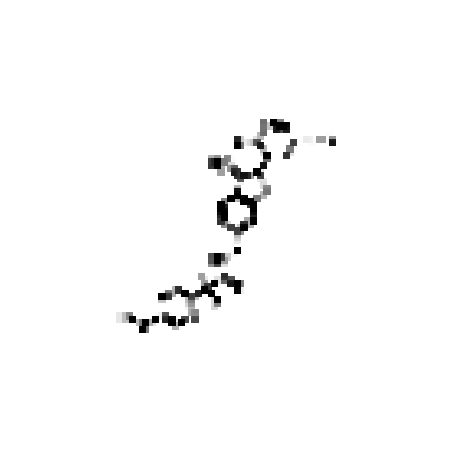 C=C1c2ccc(CNC(=O)C(F)(F)c3ccc(OC(C)C)cn3)cc2CN1C(CCC=O)C(=O)NC